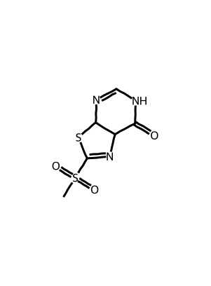 CS(=O)(=O)C1=NC2C(=O)NC=NC2S1